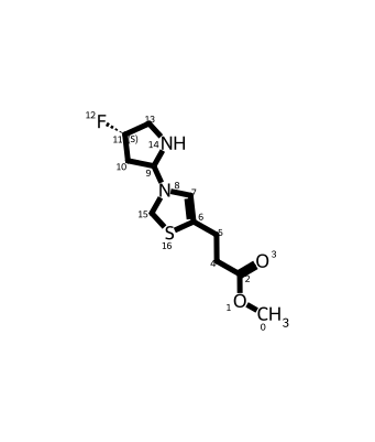 COC(=O)CCC1=CN(C2C[C@H](F)CN2)CS1